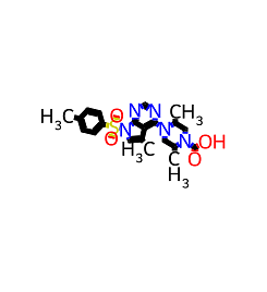 Cc1ccc(S(=O)(=O)n2cc(C)c3c(N4CC(C)N(C(=O)O)CC4C)ncnc32)cc1